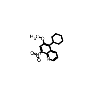 COc1cc([N+](=O)[O-])c2ncccc2c1C1CCCCC1